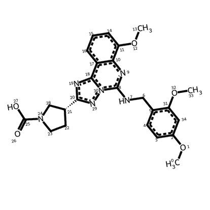 COc1ccc(CNc2nc3c(OC)cccc3c3nc([C@@H]4CCN(C(=O)O)C4)nn23)c(OC)c1